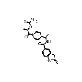 CC(OC(N)=O)C(=O)N1CCC(C(C)NC(=O)c2ccc3c(c2)CC(=O)N3)CC1